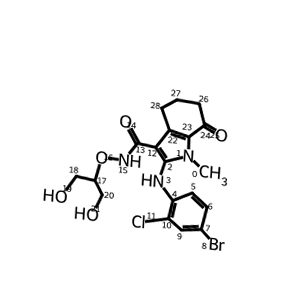 Cn1c(Nc2ccc(Br)cc2Cl)c(C(=O)NOC(CO)CO)c2c1C(=O)CCC2